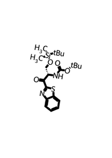 CC(C)(C)OC(=O)N[C@@H](CO[Si](C)(C)C(C)(C)C)C(=O)c1nc2ccccc2s1